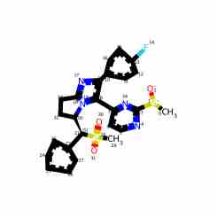 C[S+]([O-])c1nccc(-c2c(-c3ccc(F)cc3)nc3n2C([C@H](c2ccccc2)S(C)(=O)=O)CC3)n1